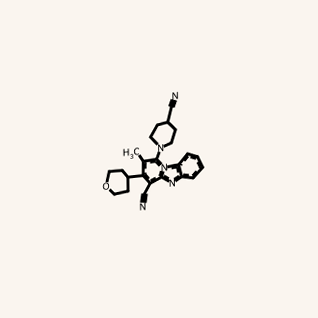 Cc1c(C2CCOCC2)c(C#N)c2nc3ccccc3n2c1N1CCC(C#N)CC1